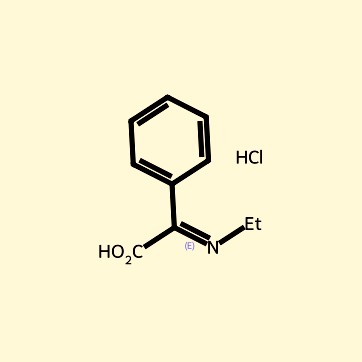 CC/N=C(/C(=O)O)c1ccccc1.Cl